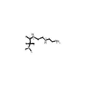 CC(NCCNCCN)C(C)(C)N(C)C